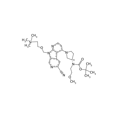 COCCN(C(=O)OC(C)(C)C)[C@H]1CCN(c2ccnc3c2c2cc(C#N)ncc2n3COCC[Si](C)(C)C)C1